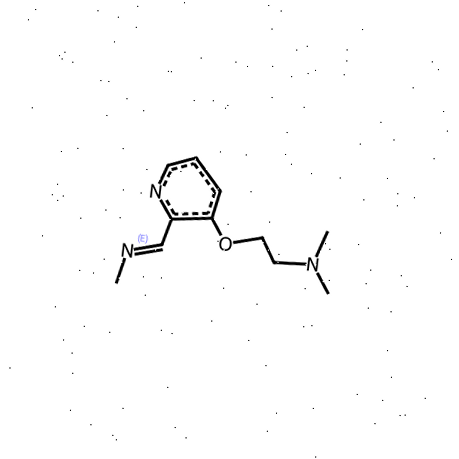 C/N=C/c1ncccc1OCCN(C)C